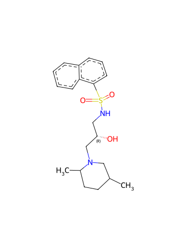 CC1CCC(C)N(C[C@@H](O)CNS(=O)(=O)c2cccc3ccccc23)C1